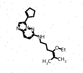 CCOC(CCCNc1ccc2ncc(C3=CCCC3)n2n1)=C(C)C